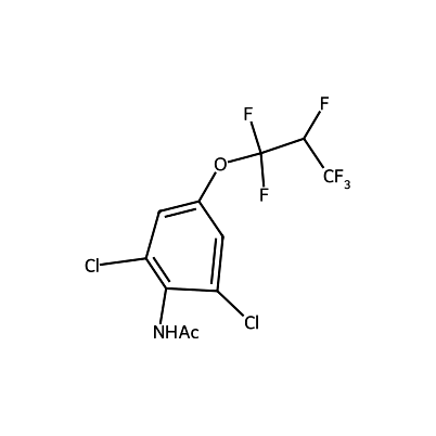 CC(=O)Nc1c(Cl)cc(OC(F)(F)C(F)C(F)(F)F)cc1Cl